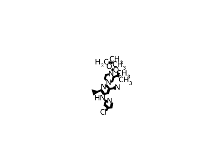 CC(C)C1CN(c2nc(C3CC3)c(Nc3cc(Cl)ccn3)cc2C#N)CCN1C(=O)OC(C)(C)C